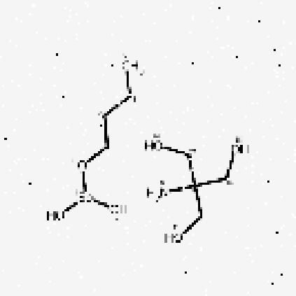 CCCC[O][Sb]([OH])[OH].NC(CO)(CO)CO